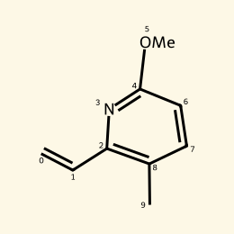 C=Cc1nc(OC)ccc1C